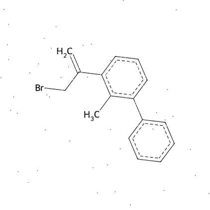 C=C(CBr)c1cccc(-c2ccccc2)c1C